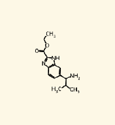 CCOC(=O)c1nc2ccc(C(N)C(C)C)cc2[nH]1